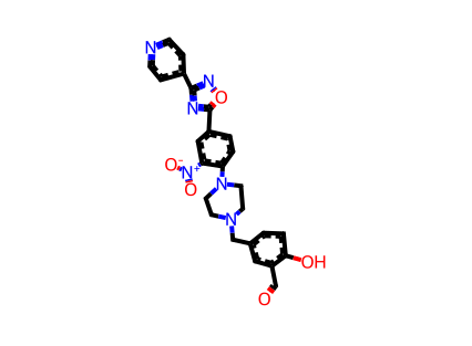 O=Cc1cc(CN2CCN(c3ccc(-c4nc(-c5ccncc5)no4)cc3[N+](=O)[O-])CC2)ccc1O